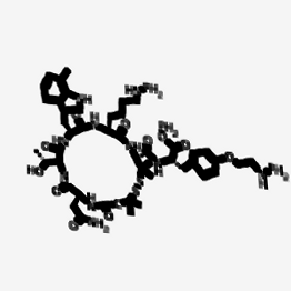 Cc1cccc2c(C[C@@H]3NC(=O)C([C@@H](C)O)NC(=O)[C@H](CC(N)=O)NC(=O)CC(C)(C)SSC(C)(C)[C@@H](C(=O)N[C@@H](Cc4ccc(OCCNP)cc4)C(=O)OP)NC(=O)[C@H](CCCCNP)NC3=O)c[nH]c12